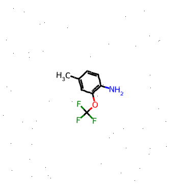 Cc1ccc(N)c(OC(F)(F)F)c1